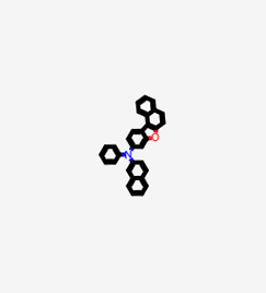 c1ccc(N(c2ccc3ccccc3c2)c2ccc3c(c2)oc2ccc4ccccc4c23)cc1